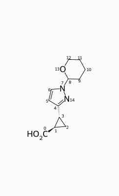 O=C(O)[C@@H]1C[C@H]1c1ccn(C2CCCCO2)n1